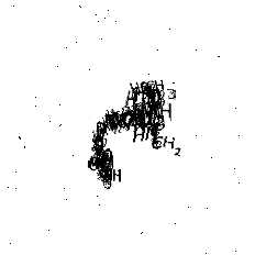 C=CCNC(=O)c1cnc(Nc2ccc(N3CCN(CCOc4ccc5c(c4)C(=O)N(C4CCC(=O)NC4=O)C5=O)CC3)cc2)nc1Nc1cccc(C(C)(C)O)n1